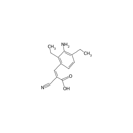 CCc1ccc(C=C(C#N)C(=O)O)c(CC)c1N